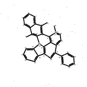 Cc1c2ccccc2c(C)c2c1c1c3c(cc[n+]1C)c(-c1ccccc1)cc1c4ccccc4n2c13